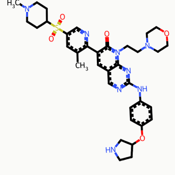 Cc1cc(S(=O)(=O)C2CCN(C)CC2)cnc1-c1cc2cnc(Nc3ccc(OC4CCNC4)cc3)nc2n(CCN2CCOCC2)c1=O